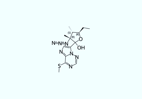 CC[C@H]1OC(O)(c2cnc3c(SC)ncnn23)[C@](C)(N=[N+]=[N-])[C@@H]1C